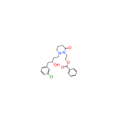 O=C(OCCN1C(=O)CCCN1CCC(O)Cc1cccc(Cl)c1)c1ccccc1